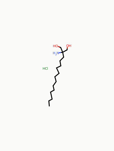 CCCCCCCCCCCCCC(N)(CO)CO.Cl